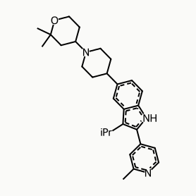 Cc1cc(-c2[nH]c3ccc(C4CCN(C5CCOC(C)(C)C5)CC4)cc3c2C(C)C)ccn1